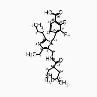 CCCc1nc(CC)c(CNC(=O)C(CS)CC(C)C)n1Cc1ccc(C(=O)O)c(F)c1F